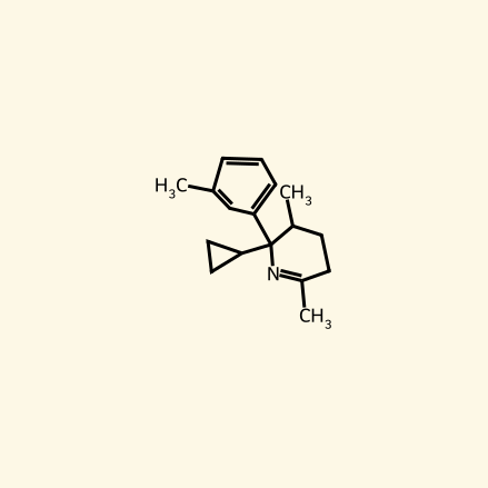 CC1=NC(c2cccc(C)c2)(C2CC2)C(C)CC1